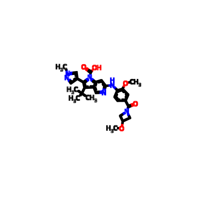 COc1cc(C(=O)N2CC(OC)C2)ccc1Nc1cc2c(cn1)c(C(C)(C)C)c(-c1cnn(C)c1)n2C(=O)O